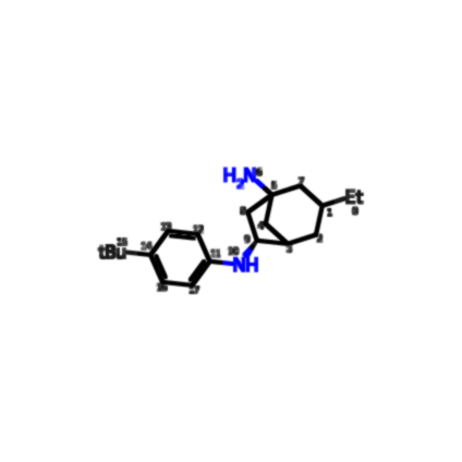 CCC1CC2CC(N)(C1)C[C@@H]2Nc1ccc(C(C)(C)C)cc1